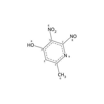 Cc1cc(O)c([N+](=O)[O-])c(N=O)n1